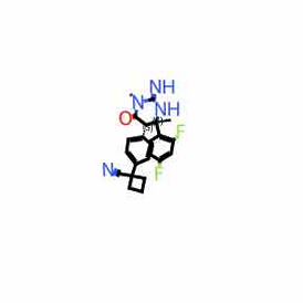 CN1C(=N)N[C@](C)(c2ccc(F)cc2F)[C@H](c2ccc(C3(C#N)CCC3)cc2)C1=O